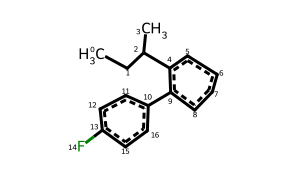 CCC(C)c1ccccc1-c1ccc(F)cc1